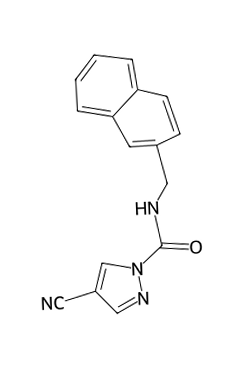 N#Cc1cnn(C(=O)NCc2ccc3ccccc3c2)c1